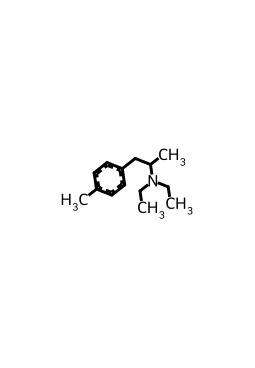 CCN(CC)C(C)Cc1ccc(C)cc1